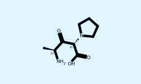 C[C@H](N)C(=O)[C@@H](C(=O)O)N1CCCC1